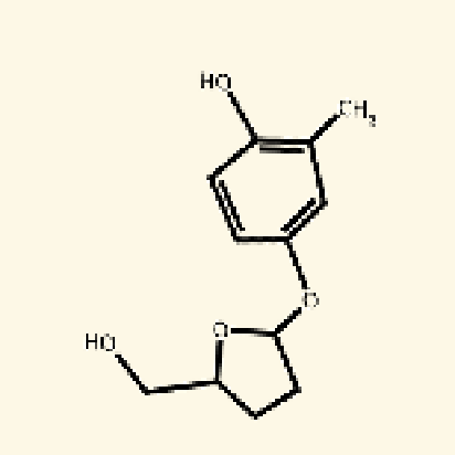 Cc1cc(OC2CCC(CO)O2)ccc1O